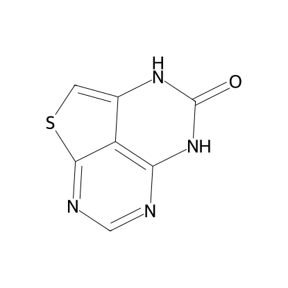 O=C1Nc2csc3ncnc(c23)N1